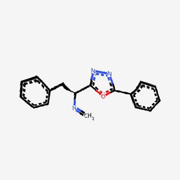 C=N[C@@H](Cc1ccccc1)c1nnc(-c2ccccc2)o1